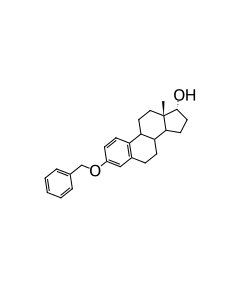 C[C@]12CCC3c4ccc(OCc5ccccc5)cc4CCC3C1CC[C@H]2O